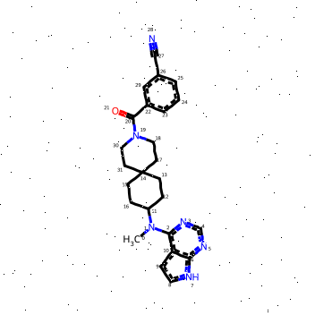 CN(c1ncnc2[nH]ccc12)C1CCC2(CC1)CCN(C(=O)c1cccc(C#N)c1)CC2